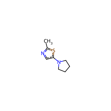 Cc1ncc(N2CCCC2)s1